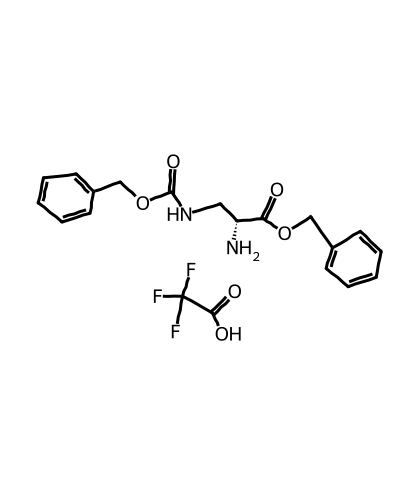 N[C@H](CNC(=O)OCc1ccccc1)C(=O)OCc1ccccc1.O=C(O)C(F)(F)F